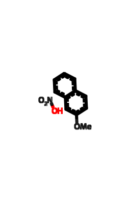 COc1ccc2ccccc2c1.O=[N+]([O-])O